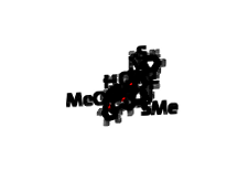 COC(=O)N1CCC[C@@H]1c1cc2c(SC)nc3c(F)c(-c4cccc5scnc45)ncc3c2n1[C@H]1[C@@H]2C[C@H]1N(C(=O)OC(C)(C)C)C2